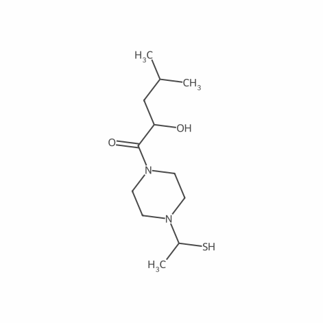 CC(C)CC(O)C(=O)N1CCN(C(C)S)CC1